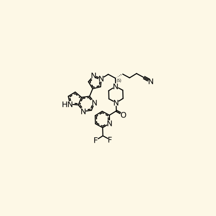 N#CCCC[C@@H](Cn1cc(-c2ncnc3[nH]ccc23)cn1)N1CCN(C(=O)c2cccc(C(F)F)n2)CC1